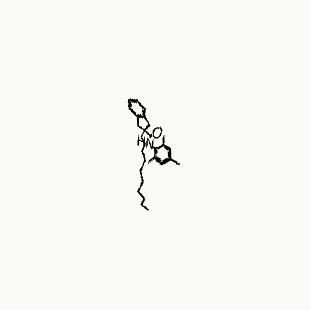 CCCCCCCCCCC1(C(=O)Nc2c(C)cc(C)cc2C)Cc2ccccc2C1